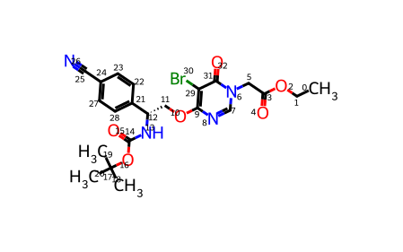 CCOC(=O)Cn1cnc(OC[C@H](NC(=O)OC(C)(C)C)c2ccc(C#N)cc2)c(Br)c1=O